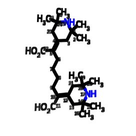 CC1(C)CC(=C(CCCCC(C(=O)O)=C2CC(C)(C)NC(C)(C)C2)C(=O)O)CC(C)(C)N1